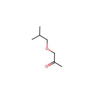 CC(=O)COCC(C)C